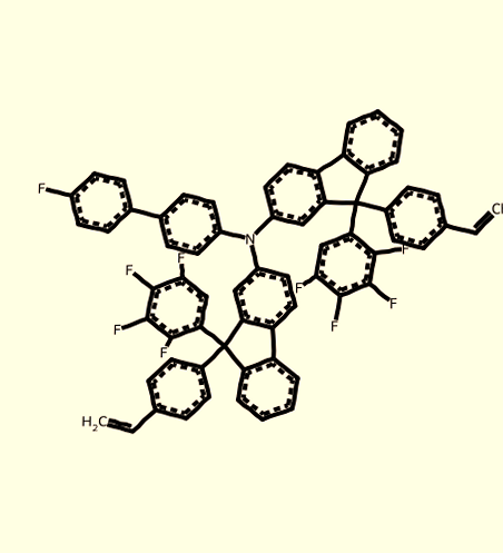 C=Cc1ccc(C2(c3cc(F)c(F)c(F)c3F)c3ccccc3-c3ccc(N(c4ccc(-c5ccc(F)cc5)cc4)c4ccc5c(c4)C(c4ccc(C=C)cc4)(c4cc(F)c(F)c(F)c4F)c4ccccc4-5)cc32)cc1